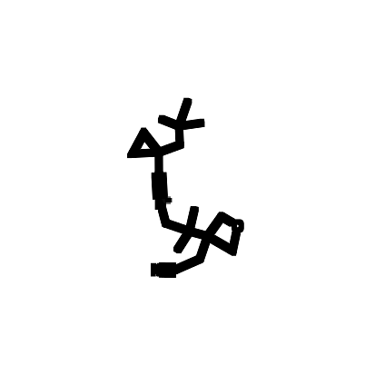 CC(C)(C)CC1(C#[N+]CC(C)(C)C2(CC#N)COC2)CC1